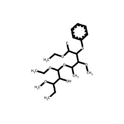 CCOC(F)C(Sc1ccccc1)C(OC)C(C)OC(OCC)C(O)C(CC)OC